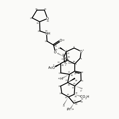 CC(=O)O[C@@H]1C[C@@]23COC[C@](C)([C@@H]2CC[C@H]2C3=CC[C@@]3(C)[C@H](C(=O)O)[C@@](C)([C@H](C)C(C)C)CC[C@]23C)[C@H]1OC(=O)CNCC1CCCO1